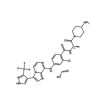 C[C@@H](NC(=O)c1ccc(Nc2nccn3c(-c4c[nH]nc4C(F)(F)F)cnc23)cc1Cl)C(=O)N1CCC(N)CC1.O=CO